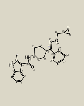 Cc1[nH]c2ccccc2c1C(=O)N[C@H]1CC[C@H](/C(=N/OCC2CC2)c2cccnn2)CC1